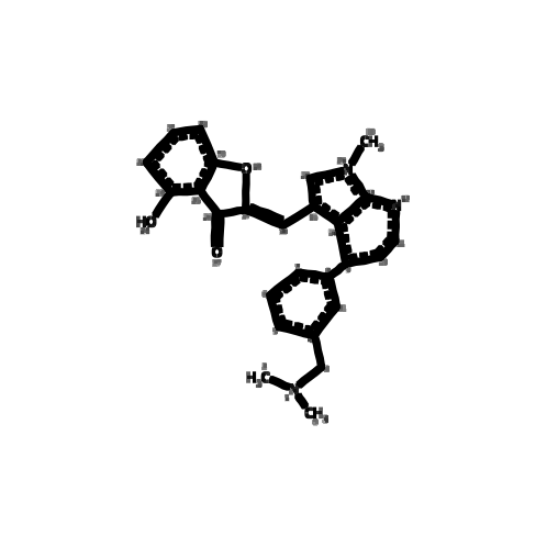 CN(C)Cc1cccc(-c2ccnc3c2c(C=C2Oc4cccc(O)c4C2=O)cn3C)c1